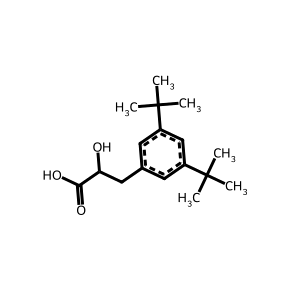 CC(C)(C)c1cc(CC(O)C(=O)O)cc(C(C)(C)C)c1